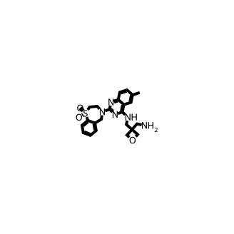 Cc1ccc2nc(N3CCS(=O)(=O)c4ccccc4C3)nc(NCC3(CN)COC3)c2c1